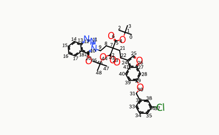 CC(C)(C)OC(=O)C(CCn1nnc2ccccc2c1=O)(CC(=O)c1coc2cc(OCc3cccc(Cl)c3)ccc12)C(=O)OC(C)(C)C